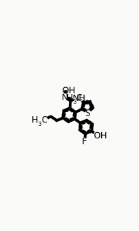 CCCc1cc(/C(N)=N/O)c(-c2sccc2C)c(-c2ccc(O)c(F)c2)c1